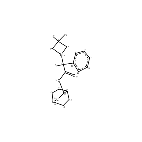 CC1(C)CN(C(C)(C(=O)OC2CN3CCC2CC3)c2ccccc2)C1